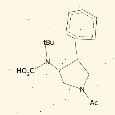 CC(=O)N1CC(c2ccccc2)C(N(C(=O)O)C(C)(C)C)C1